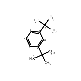 CC(C)(C)c1c[c]cc(C(C)(C)C)c1